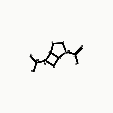 C=C(C)N1CCC2C1CN2C(C)C